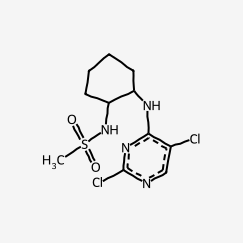 CS(=O)(=O)NC1CCCCC1Nc1nc(Cl)ncc1Cl